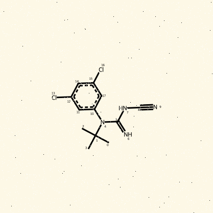 CC(C)(C)N(C(=N)NC#N)c1cc(Cl)cc(Cl)c1